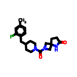 Cc1ccc(CC2CCN(C(=O)N3CC4(CCC(=O)N4)C3)CC2)c(F)c1